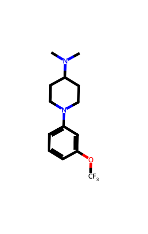 CN(C)C1CCN(c2cccc(OC(F)(F)F)c2)CC1